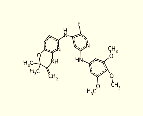 C=C1Nc2nc(Nc3cc(Nc4cc(OC)c(OC)c(OC)c4)ncc3F)ccc2OC1(C)C